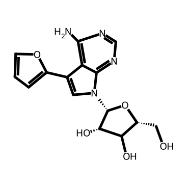 Nc1ncnc2c1c(-c1ccco1)cn2[C@@H]1O[C@H](CO)C(O)[C@@H]1O